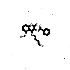 CC/C=C/CCOc1c(OC(=O)c2ccccc2)c(=O)oc2cccc(OC(C)C)c12